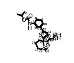 CC(C)OC(=O)Nc1cccc(-c2ccc([C@@]3(CC(=O)NO)CCCCS3(=O)=O)s2)c1